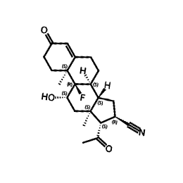 CC(=O)[C@H]1[C@H](C#N)C[C@H]2[C@@H]3CCC4=CC(=O)CC[C@]4(C)[C@@]3(F)[C@@H](O)C[C@@]21C